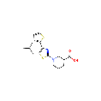 CC(C)Cc1sc(N2CCCC(C(=O)O)C2)nc1-c1cccs1